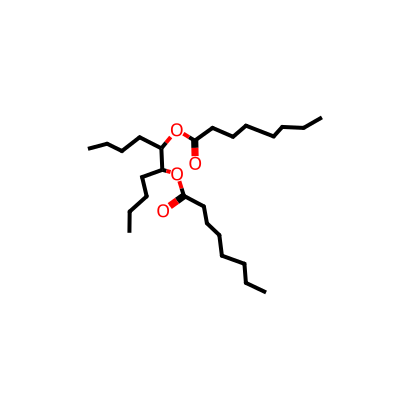 CCCCCCCC(=O)OC(CCCC)C(CCCC)OC(=O)CCCCCCC